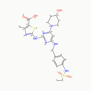 CCS(=O)(=O)Nc1ccc(CNc2cc(N3CCC(O)CC3)nc(Nc3nc(C)c(C(=O)O)s3)n2)cc1